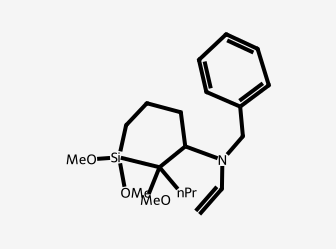 C=CN(Cc1ccccc1)C1CCC[Si](OC)(OC)C1(CCC)OC